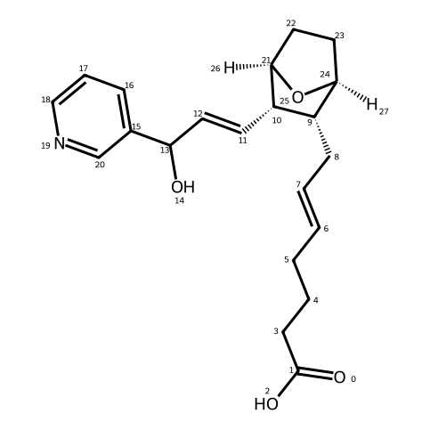 O=C(O)CCCC=CC[C@@H]1[C@H](/C=C/C(O)c2cccnc2)[C@H]2CC[C@@H]1O2